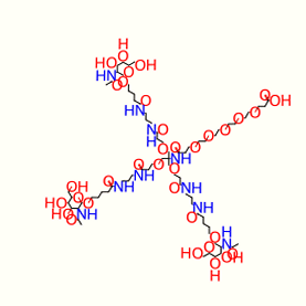 CC(=O)NC1C(OCCCCC(=O)NCCCNC(=O)CCOCC(COCCC(=O)NCCCNC(=O)CCCCOC2OC(CO)C(O)C(O)C2NC(C)=O)(COCCC(=O)NCCCNC(=O)CCCCOC2OC(CO)C(O)C(O)C2NC(C)=O)NC(=O)CCOCCOCCOCCOCCOCCC(=O)O)OC(CO)C(O)C1O